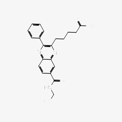 CCNC(=O)c1ccc2nc(-c3ccccc3)c(CCCCC(=O)O)nc2c1